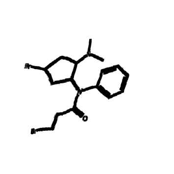 CN(C)C1CC(Br)CC1N(C(=O)CCBr)c1ccccc1